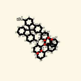 CC(C)(C)c1ccc2c(c1)C1(c3ccccc3-c3ccc(N(c4ccccc4-c4cccc5cccc(-c6ccccc6)c45)c4cccc5c4oc4ccccc45)cc31)c1cc(C(C)(C)C)ccc1-2